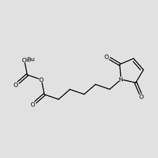 CC(C)COC(=O)OC(=O)CCCCCN1C(=O)C=CC1=O